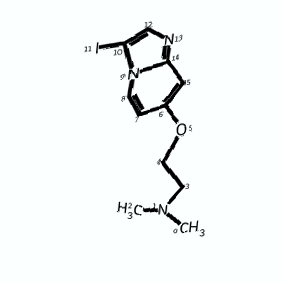 CN(C)CCOc1ccn2c(I)cnc2c1